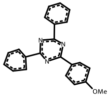 COc1ccc(-c2nc(-c3ccccc3)nc(-c3ccccc3)n2)cc1